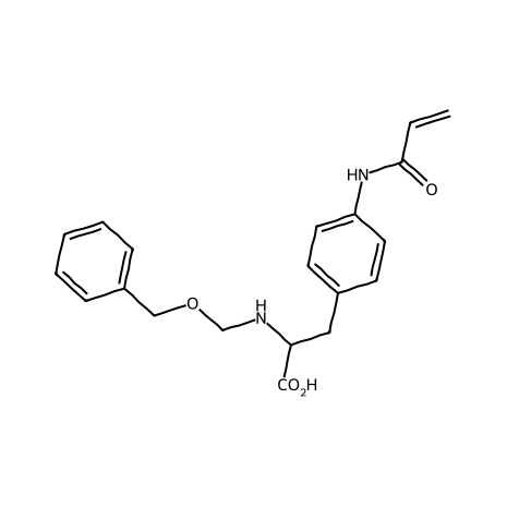 C=CC(=O)Nc1ccc(CC(NCOCc2ccccc2)C(=O)O)cc1